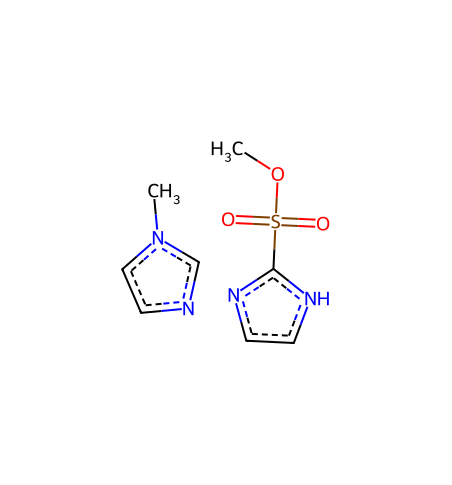 COS(=O)(=O)c1ncc[nH]1.Cn1ccnc1